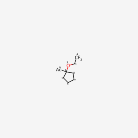 CC(=O)C1(OCC(F)(F)F)CCCC1